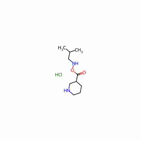 CC(C)CNOC(=O)C1CCCNC1.Cl